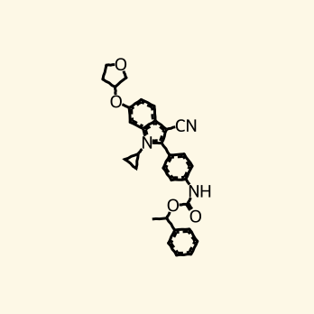 CC(OC(=O)Nc1ccc(-c2c(C#N)c3ccc(OC4CCOC4)cc3n2C2CC2)cc1)c1ccccc1